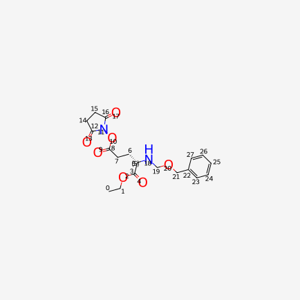 CCOC(=O)[C@H](CCC(=O)ON1C(=O)CCC1=O)NCOCc1ccccc1